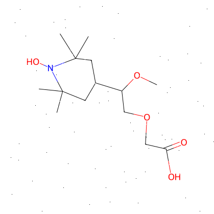 COC(COCC(=O)O)C1CC(C)(C)N(O)C(C)(C)C1